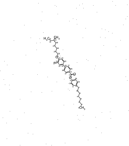 CCCCCCCCc1ccc(OC(=O)c2ccc(-c3ccc(OCCCCCC(C)CC)c(F)c3)cc2)cc1